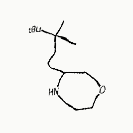 CC(C)(C)C(C)(C)CC1COCCN1